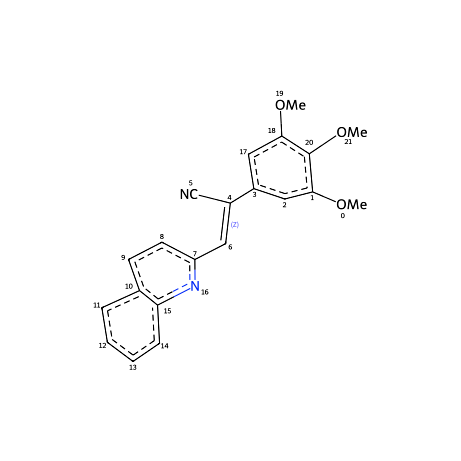 COc1cc(/C(C#N)=C/c2ccc3ccccc3n2)cc(OC)c1OC